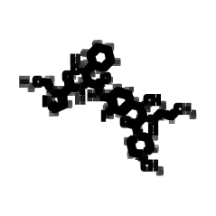 CCCN[C@@H](C(=O)N1CCN(C)CC1)[C@@H](C)c1ccc(NC(=O)[C@@H](NC(=O)c2ccnn2CC)[C@@H](C)C2CCCCC2)c(F)c1